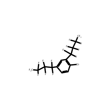 C[CH]c1ccc(C(F)(F)C(F)(F)C(F)(F)C(F)(F)F)cc1C(F)(F)C(F)(F)C(F)(F)C(F)(F)F